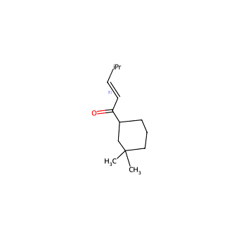 CC(C)/C=C/C(=O)C1CCCC(C)(C)C1